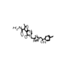 Cc1ccc(C(O)Cn2nnc(Cn3cnc4oc(C)c(C(N)=O)c4c3=O)n2)cc1